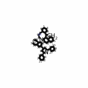 C=C1c2ccccc2/C=C\CN(c2cc(-c3cc(-c4ccccc4)nc(-c4ccccc4)c3)cc3ccccc23)c2ccc3ccccc3c21